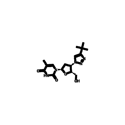 Cc1cn([C@@H]2C[C@H](n3cc(C(C)(C)C)nn3)[C@H](CO)O2)c(=O)[nH]c1=O